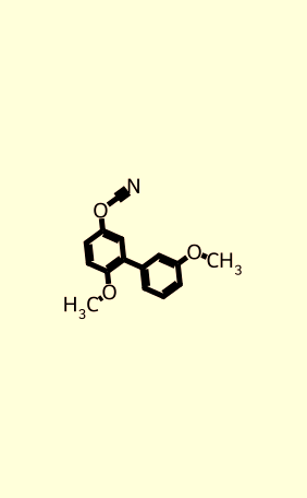 COc1cccc(-c2cc(OC#N)ccc2OC)c1